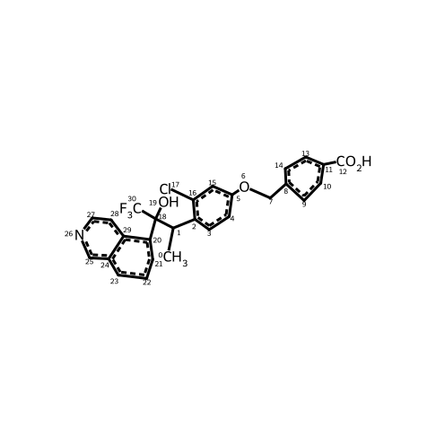 CC(c1ccc(OCc2ccc(C(=O)O)cc2)cc1Cl)C(O)(c1cccc2cnccc12)C(F)(F)F